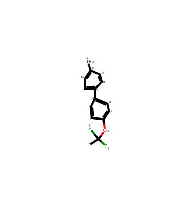 CC(F)(F)Oc1ccc(-c2ccc(C(C)(C)C)cc2)cc1